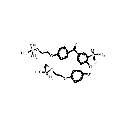 CC(C)(C)[Si](C)(C)OCCOc1ccc(Br)cc1.CC(C)(C)[Si](C)(C)OCCOc1ccc(C(=O)c2ccc(Cl)c(S(N)(=O)=O)c2)cc1